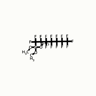 CO[Si](OC)(OC)C(F)(F)C(F)(F)C(F)(F)C(F)(F)C(F)(F)C(F)(F)C(F)(F)F